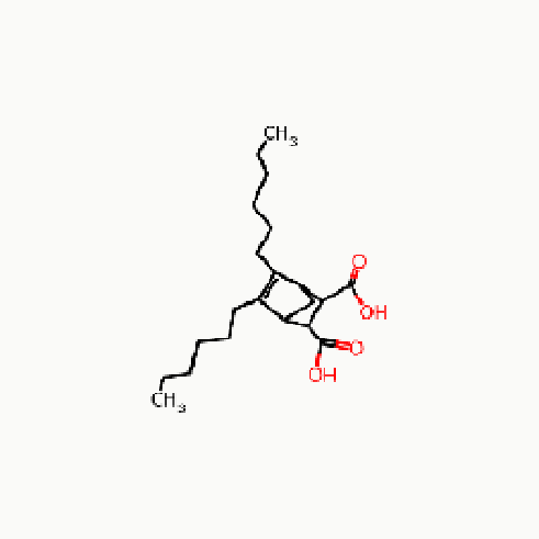 CCCCCCC1=C(CCCCCC)C2CC1C(C(=O)O)C2C(=O)O